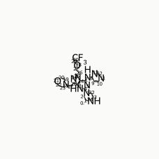 C[C@@H]1CN(C2N=C(Nc3ccncn3)c3c(c(CN4CCOCC4)nn3CCOCC(F)(F)F)N2)CCN1